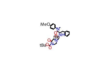 COc1ccc(N(C)C(=O)C(Cc2ccccc2)NC(=O)CN2CCN(C(=O)OC(C)(C)C)C(=O)C2C(C)(C)C)cc1